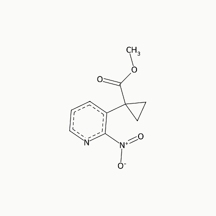 COC(=O)C1(c2cccnc2[N+](=O)[O-])CC1